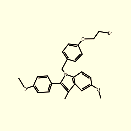 COc1ccc(-c2c(C)c3cc(OC)ccc3n2Cc2ccc(OCCBr)cc2)cc1